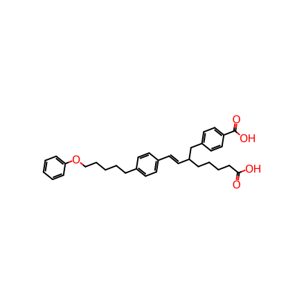 O=C(O)CCCCC(/C=C/c1ccc(CCCCCOc2ccccc2)cc1)Cc1ccc(C(=O)O)cc1